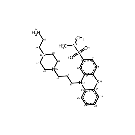 CN(C)S(=O)(=O)c1ccc2c(c1)N(CCCN1CCN(CCN)CC1)c1ccccc1S2